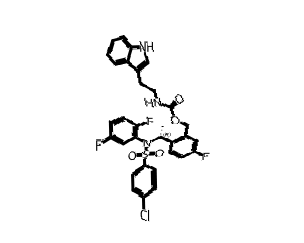 C[C@H](c1ccc(F)cc1COC(=O)NCCc1c[nH]c2ccccc12)N(c1cc(F)ccc1F)S(=O)(=O)c1ccc(Cl)cc1